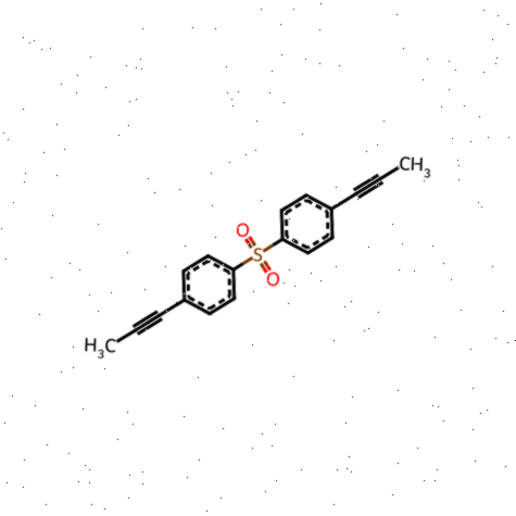 CC#Cc1ccc(S(=O)(=O)c2ccc(C#CC)cc2)cc1